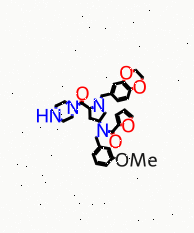 COc1cccc(CN(C(=O)c2ccco2)C2CC(C(=O)N3CCNCC3)N(Cc3ccc4c(c3)OCCO4)C2)c1